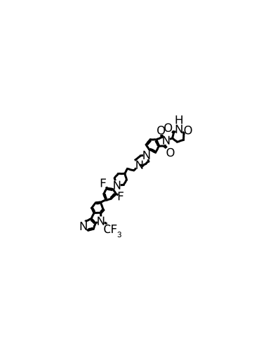 O=C1CCC(N2C(=O)c3ccc(N4CCN(CCC5CCN(c6c(F)cc(-c7ccc8c9cnccc9n(CC(F)(F)F)c8c7)cc6F)CC5)CC4)cc3C2=O)C(=O)N1